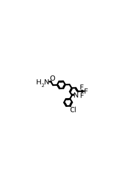 NC(=O)Cc1ccc(Cc2cc(-c3cccc(Cl)c3)nc(C(F)(F)F)c2)cc1